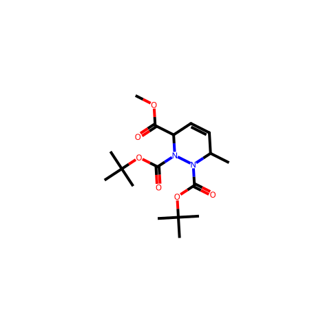 COC(=O)C1C=CC(C)N(C(=O)OC(C)(C)C)N1C(=O)OC(C)(C)C